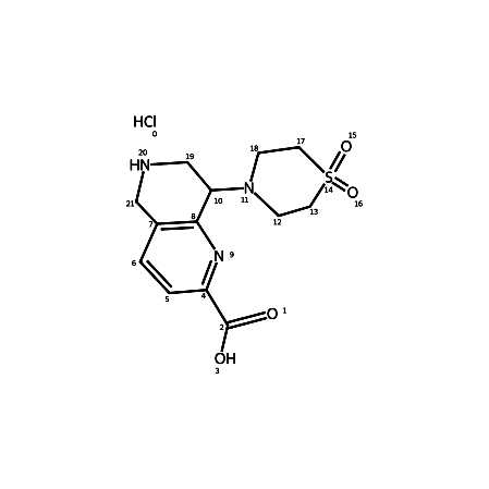 Cl.O=C(O)c1ccc2c(n1)C(N1CCS(=O)(=O)CC1)CNC2